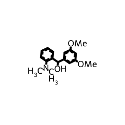 COc1cc(OC)cc(C(O)c2ccccc2N(C)C)c1